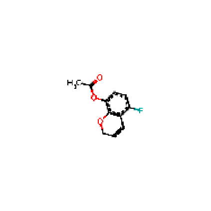 CC(=O)Oc1ccc(F)c2c1OCC=C2